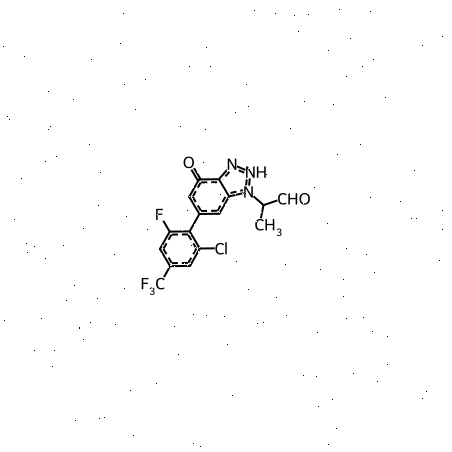 CC(C=O)n1[nH]nc2c(=O)cc(-c3c(F)cc(C(F)(F)F)cc3Cl)cc1-2